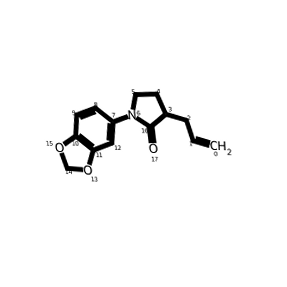 C=CCC1CCN(c2ccc3c(c2)OCO3)C1=O